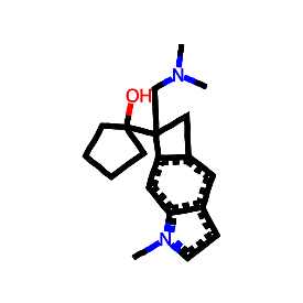 CN(C)CC1(C2(O)CCCC2)Cc2cc3ccn(C)c3cc21